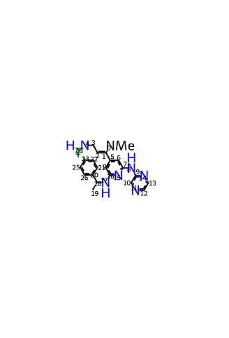 CN/C(=C\CN)c1cc(Nc2cnccn2)nc(N[C@@H](C)c2ccc(F)cc2)c1